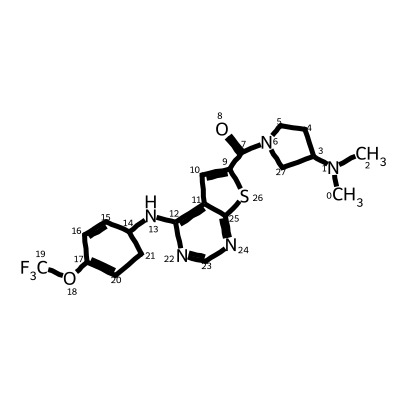 CN(C)C1CCN(C(=O)c2cc3c(NC4C=CC(OC(F)(F)F)=CC4)ncnc3s2)C1